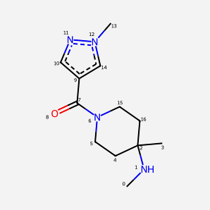 CNC1(C)CCN(C(=O)c2cnn(C)c2)CC1